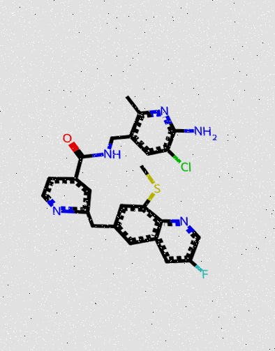 CSc1cc(Cc2cc(C(=O)NCc3cc(Cl)c(N)nc3C)ccn2)cc2cc(F)cnc12